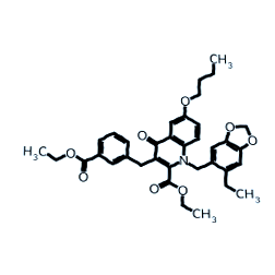 CCCCOc1ccc2c(c1)c(=O)c(Cc1cccc(C(=O)OCC)c1)c(C(=O)OCC)n2Cc1cc2c(cc1CC)OCO2